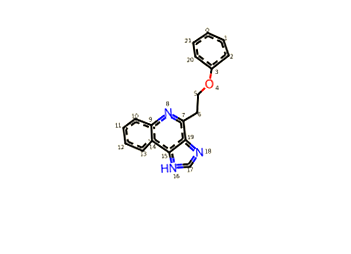 c1ccc(OCCc2nc3ccccc3c3[nH]cnc23)cc1